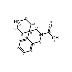 O=C(O)N1Cc2ccccc2C2(CCNCC2)C1